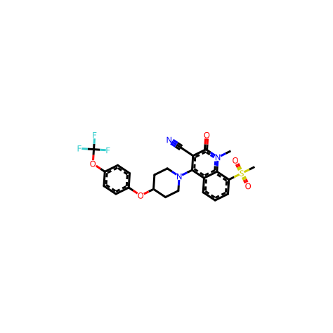 Cn1c(=O)c(C#N)c(N2CCC(Oc3ccc(OC(F)(F)F)cc3)CC2)c2cccc(S(C)(=O)=O)c21